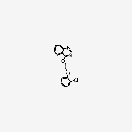 Clc1ccccc1OCCOc1ncnc2ccccc12